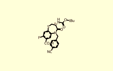 CC(C)(C)OC(=O)N[C@H]1CSc2cc(F)c(C(=O)O)cc2N(Cc2ccc(C#N)cc2)C1=O